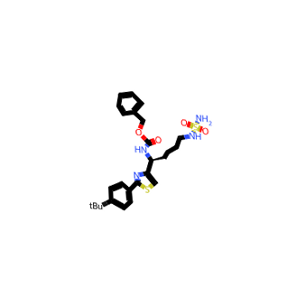 CC(C)(C)c1ccc(-c2nc([C@H](CCCCNS(N)(=O)=O)NC(=O)OCc3ccccc3)cs2)cc1